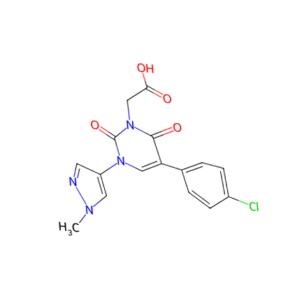 Cn1cc(-n2cc(-c3ccc(Cl)cc3)c(=O)n(CC(=O)O)c2=O)cn1